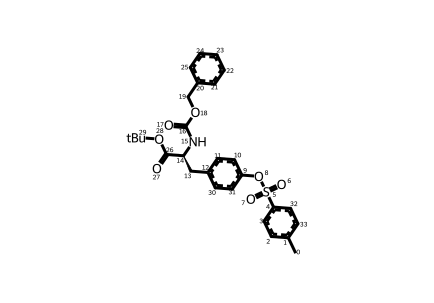 Cc1ccc(S(=O)(=O)Oc2ccc(C[C@H](NC(=O)OCc3ccccc3)C(=O)OC(C)(C)C)cc2)cc1